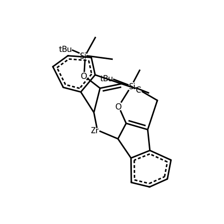 CC(C)(C)[Si](C)(C)OC1=C2CCC3=C(O[Si](C)(C)C(C)(C)C)[CH]([Zr][CH]1c1ccccc12)c1ccccc13